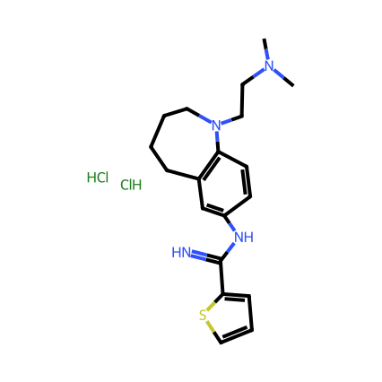 CN(C)CCN1CCCCc2cc(NC(=N)c3cccs3)ccc21.Cl.Cl